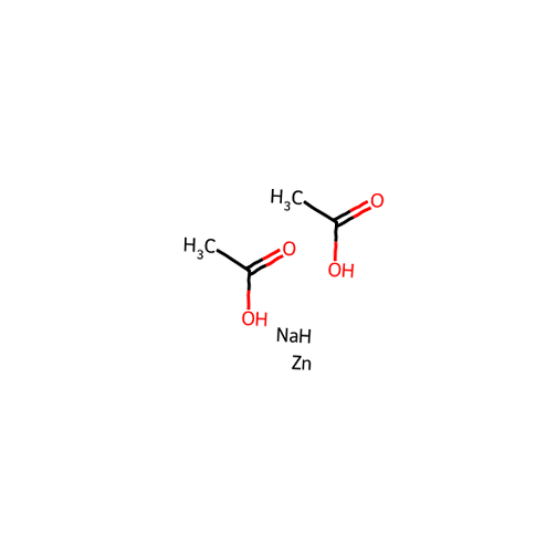 CC(=O)O.CC(=O)O.[NaH].[Zn]